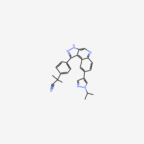 CC(C)n1cc(-c2ccc3ncc4[nH]nc(-c5ccc(C(C)(C)C#N)cc5)c4c3c2)cn1